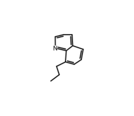 CCCc1cccc2cccnc12